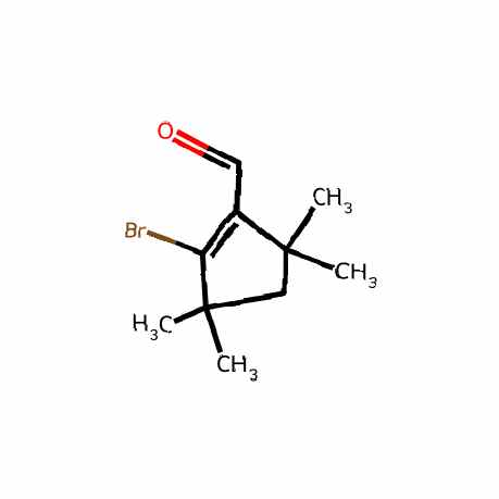 CC1(C)CC(C)(C)C(C=O)=C1Br